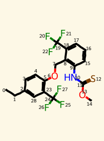 CCc1ccc(OCc2c(NC(=S)OC)cccc2C(F)(F)F)c(C(F)(F)F)c1